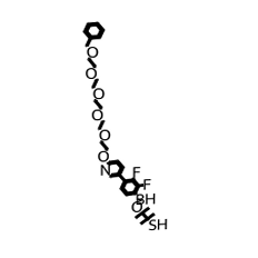 CC(C)(S)C(C)(C)OBc1ccc(-c2ccc(OCCOCCOCCOCCOCCOCc3ccccc3)nc2)c(F)c1F